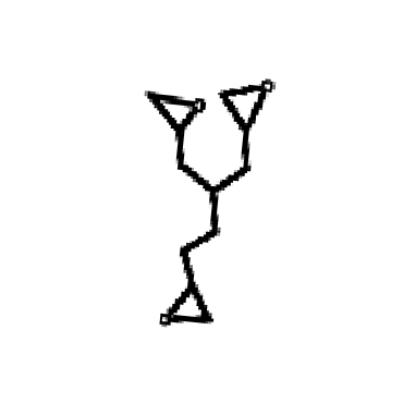 C(CC1CO1)[C](CC1CO1)CC1CO1